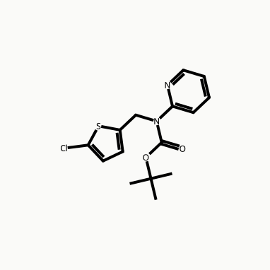 CC(C)(C)OC(=O)N(Cc1ccc(Cl)s1)c1ccccn1